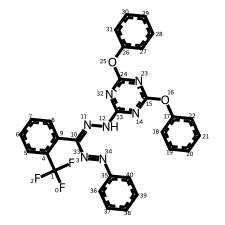 FC(F)(F)c1ccccc1C(=N/Nc1nc(Oc2ccccc2)nc(Oc2ccccc2)n1)/N=N/c1ccccc1